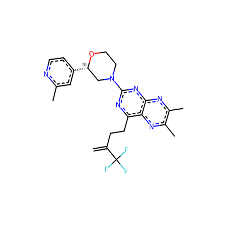 C=C(CCc1nc(N2CCO[C@@H](c3ccnc(C)c3)C2)nc2nc(C)c(C)nc12)C(F)(F)F